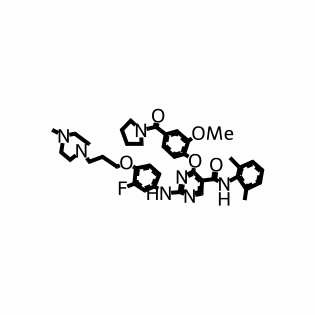 COc1cc(C(=O)N2CCCC2)ccc1Oc1nc(Nc2ccc(OCCCN3CCN(C)CC3)c(F)c2)ncc1C(=O)Nc1c(C)cccc1C